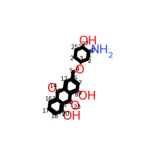 NC1C[C@@H](OCc2cc(O)c3c(c2)C(=O)c2cccc(O)c2C3=O)CC[C@@H]1O